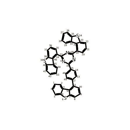 c1ccc2c(c1)sc1cccc(-c3ccc(-c4nc(-c5cccc6sc7ccccc7c56)nc(-c5cccc6sc7ccccc7c56)n4)cc3)c12